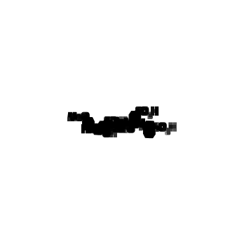 COc1ccc(Nc2ccc3c(O)c(N=Nc4cc(C)c(N=Nc5c(OC)cc(N=Nc6ccc(S(=O)(=O)O)c7ccccc67)c6cc(S(=O)(=O)O)ccc56)cc4C)c(S(=O)(=O)O)cc3c2)cc1